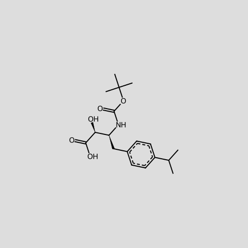 CC(C)c1ccc(C[C@H](NC(=O)OC(C)(C)C)[C@H](O)C(=O)O)cc1